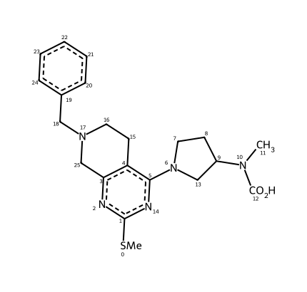 CSc1nc2c(c(N3CCC(N(C)C(=O)O)C3)n1)CCN(Cc1ccccc1)C2